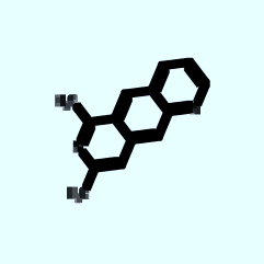 Cc1cc2cc3ncccc3cc2c(C)n1